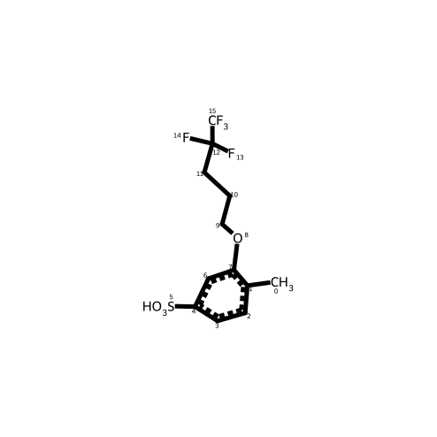 Cc1ccc(S(=O)(=O)O)cc1OCCCC(F)(F)C(F)(F)F